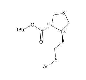 CC(=O)SCC[C@@H]1CSC[C@H]1C(=O)OC(C)(C)C